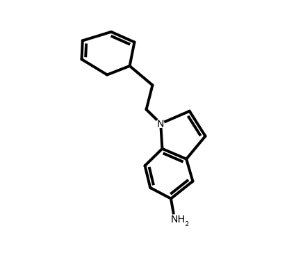 Nc1ccc2c(ccn2CCC2C=CC=CC2)c1